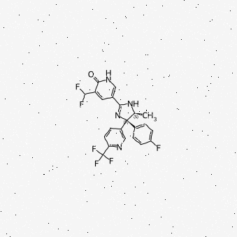 C[C@@H]1NC(c2c[nH]c(=O)c(C(F)F)c2)=N[C@@]1(c1ccc(F)cc1)c1ccc(C(F)(F)F)nc1